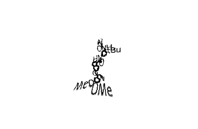 COc1cc2nccc(Oc3ccc4c(C(=O)Nc5ccc(C(C)(C)C)c(NC(=O)CN(C)C)c5)cccc4c3)c2cc1OC